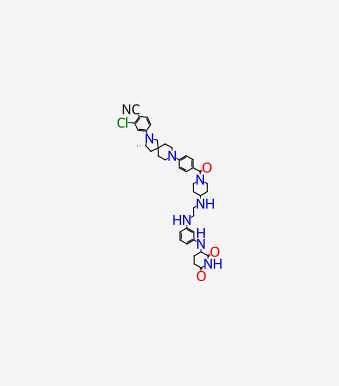 C[C@H]1CC2(CCN(c3ccc(C(=O)N4CCC(NCCNc5cccc(NC6CCC(=O)NC6=O)c5)CC4)cc3)CC2)CN1c1ccc(C#N)c(Cl)c1